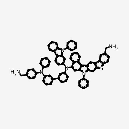 NCc1ccc(N(c2ccccc2)c2cccc(-c3cccc(N(c4ccc5c6ccccc6n(-c6ccccc6)c5c4)c4cc5c(c6ccccc46)c4cc6c(cc4n5-c4ccccc4)sc4ccc(CN)cc46)c3)c2)cc1